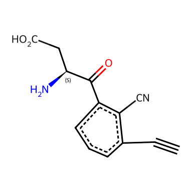 C#Cc1cccc(C(=O)[C@@H](N)CC(=O)O)c1C#N